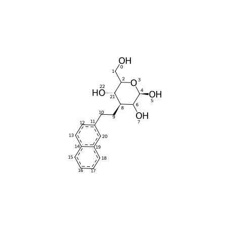 OCC1O[C@@H](O)C(O)[C@@H](CCc2ccc3ccccc3c2)[C@@H]1O